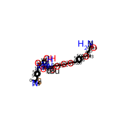 Cc1ncsc1-c1ccc(CNC(=O)[C@@H]2C[C@@H](O)CN2C(=O)[C@@H](NC(=O)COCCOCCOCCc2ccc(CO[C@H](C)CCCC(N)=O)cc2)C(C)(C)C)cc1